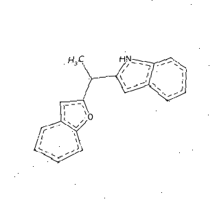 C[C](c1cc2ccccc2[nH]1)c1cc2ccccc2o1